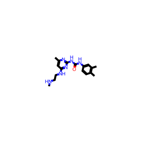 CNCCNc1cc(C)nc(NC(=O)Nc2ccc(C)c(C)c2)n1